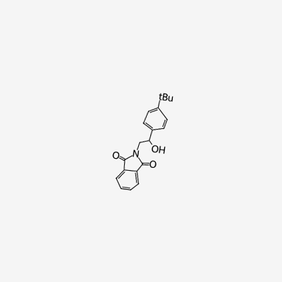 CC(C)(C)c1ccc(C(O)CN2C(=O)c3ccccc3C2=O)cc1